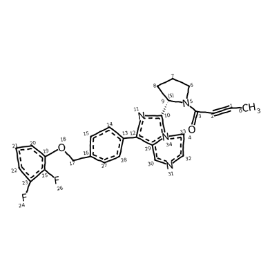 CC#CC(=O)N1CCC[C@H]1c1nc(-c2ccc(COc3cccc(F)c3F)cc2)c2cnccn12